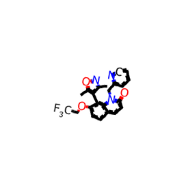 Cc1noc(C)c1-c1c(OCC(F)(F)F)ccc2ccc(=O)n(Cc3ccccn3)c12